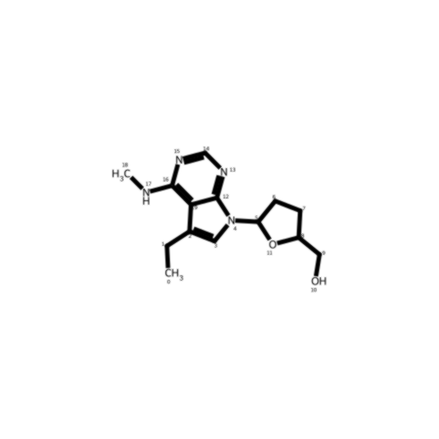 CCc1cn(C2CCC(CO)O2)c2ncnc(NC)c12